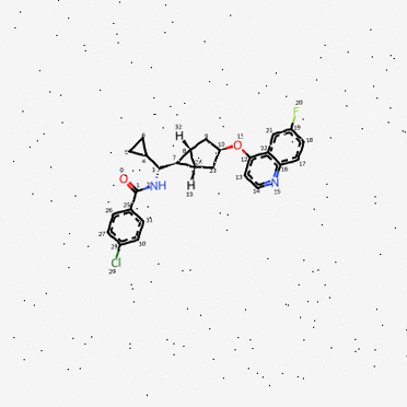 O=C(N[C@H](C1CC1)[C@H]1[C@@H]2C[C@@H](Oc3ccnc4ccc(F)cc34)C[C@@H]21)c1ccc(Cl)cc1